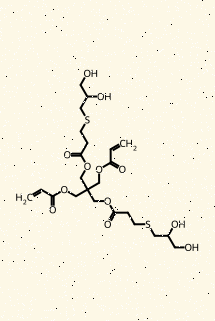 C=CC(=O)OCC(COC(=O)C=C)(COC(=O)CCSCC(O)CO)COC(=O)CCSCC(O)CO